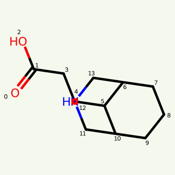 O=C(O)CCC1C2CCCC1CNC2